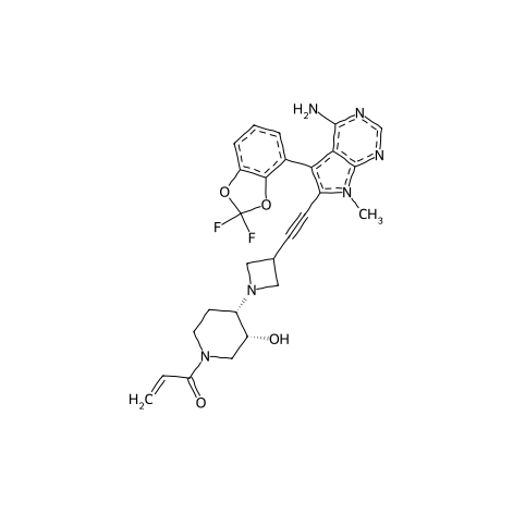 C=CC(=O)N1CC[C@H](N2CC(C#Cc3c(-c4cccc5c4OC(F)(F)O5)c4c(N)ncnc4n3C)C2)[C@H](O)C1